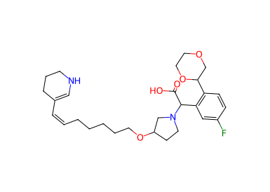 O=C(O)C(c1cc(F)ccc1C1COCCO1)N1CCC(OCCCCC/C=C\C2=CNCCC2)C1